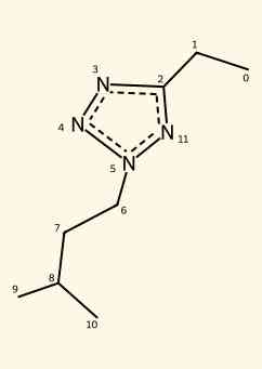 CCc1nnn(CCC(C)C)n1